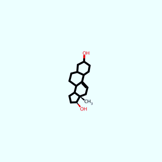 C[C@]12CC=C3C4CCC(O)CC4CCC3C1CC[C@@H]2O